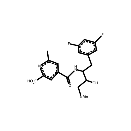 CNCC(O)C(Cc1cc(F)cc(F)c1)NC(=O)c1cc(C)nc(C(=O)O)c1